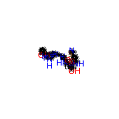 Cc1ncsc1-c1ccc([C@H](C)NC(=O)[C@@H]2C[C@@H](O)CN2C(=O)[C@@H](NC(=O)C2CN(CCCN3CCN4c5cc(-c6ccccc6O)nnc5NCC4C3)C2)C(C)(C)C)cc1